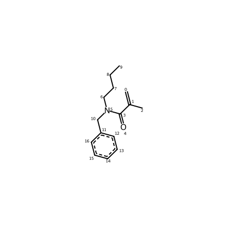 C=C(C)C(=O)N(CCCC)Cc1ccccc1